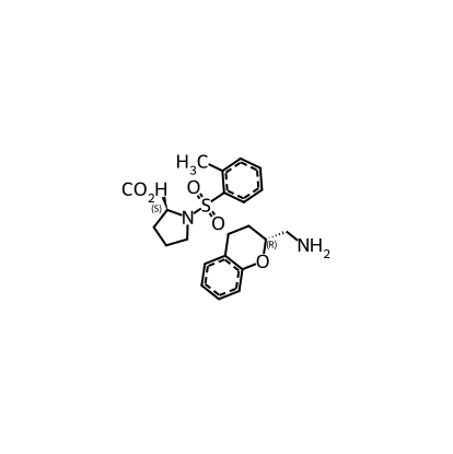 Cc1ccccc1S(=O)(=O)N1CCC[C@H]1C(=O)O.NC[C@H]1CCc2ccccc2O1